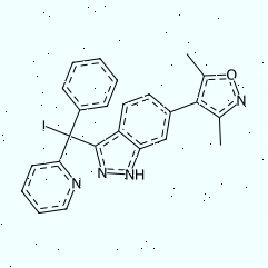 Cc1noc(C)c1-c1ccc2c(C(I)(c3ccccc3)c3ccccn3)n[nH]c2c1